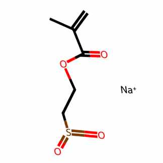 C=C(C)C(=O)OCC[S-](=O)=O.[Na+]